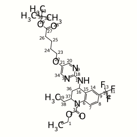 CCOC(=O)N1c2ccc(C(F)(F)F)cc2C(Nc2ncc(OCCCCC(=O)OC(C)(C)C)cn2)CC1CC